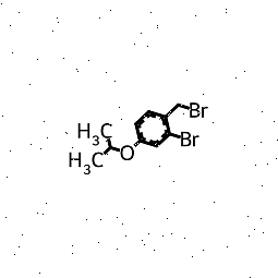 CC(C)Oc1ccc(CBr)c(Br)c1